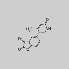 CCn1c(=O)oc2ccc(-c3c[nH]c(=O)cc3C)cc21